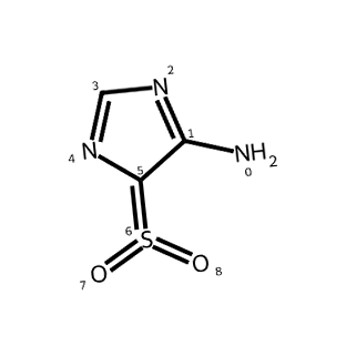 NC1=NC=NC1=S(=O)=O